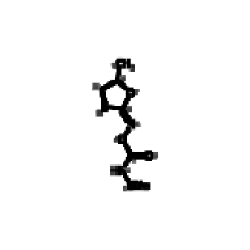 CSNC(=O)ON=C1OC(C)CS1